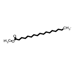 [CH2]CCCCCCCCCCCCCCCC(=O)OC